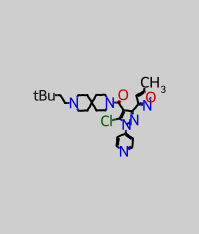 Cc1cc(-c2nn(-c3ccncc3)c(Cl)c2C(=O)N2CCC3(CCN(CCC(C)(C)C)CC3)CC2)no1